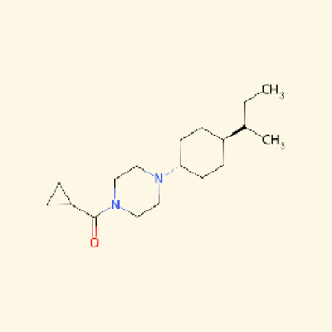 CCC(C)[C@H]1CC[C@H](N2CCN(C(=O)C3CC3)CC2)CC1